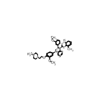 COc1cccc([C@@H](CNc2ccc(OCCN3CCN(C)CC3)c(OC)c2)N(C(=O)Oc2c(C)cccc2C)c2ccncn2)c1